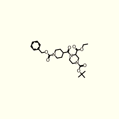 CCOC(=O)C1CN(C(=O)OC(C)(C)C)CCN1C(=O)C1CCN(C(=O)OCc2ccccc2)CC1